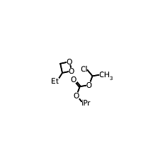 CC(C)OC(=O)OC(C)Cl.CCC1COO1